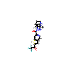 C[C@H]1[C@H](NC(=O)c2cc3sc(C(=O)C(F)(F)F)cc3cn2)C2CCN1CC2